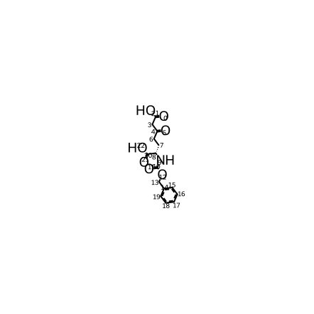 O=C(O)CC(=O)CC[C@H](NC(=O)OCc1ccccc1)C(=O)O